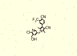 Cc1c(C#N)c(-c2ccc(C#N)c(C(F)(F)F)c2)c(C)n1Cc1cnc(Cl)c(CO)c1